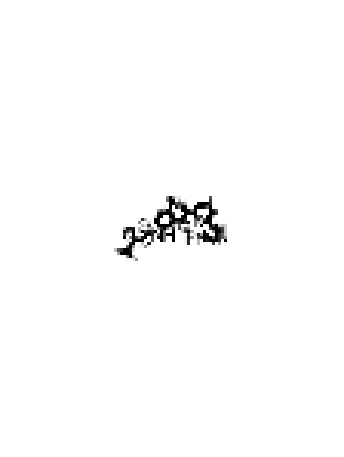 CC(C)n1cnnc1-c1cccc(-c2cn(C)c3ccc(NC(=O)CC(=O)C4CC4)cc3c2=O)n1